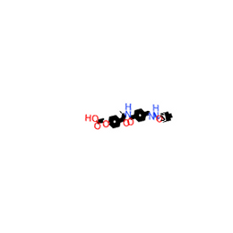 C[C@H](NC(=O)c1ccc(C=NNO[Si](C)(C)C(C)(C)C)cc1)C(=O)c1ccc(OCC(=O)O)cc1